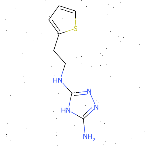 Nc1nnc(NCCc2cccs2)[nH]1